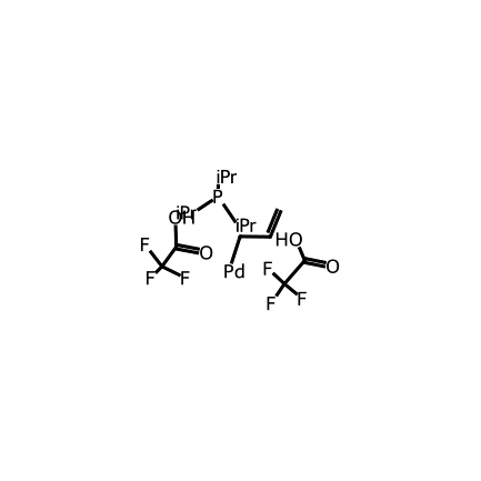 C=C[CH2][Pd].CC(C)P(C(C)C)C(C)C.O=C(O)C(F)(F)F.O=C(O)C(F)(F)F